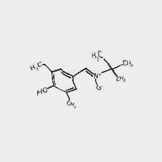 Cc1cc(/C=[N+](\[O-])C(C)(C)C)cc(C)c1O